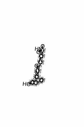 O=C1CCN(c2ccc(N3CCC(CC(=O)N4CCN(c5ccc([C@@H]6c7ccc(O)cc7CC[C@@H]6c6ccccc6)cc5)CC4)CC3)cc2)C(=O)N1